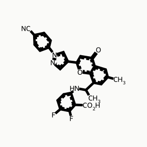 Cc1cc(C(C)Nc2ccc(F)c(F)c2C(=O)O)c2oc(-c3cnn(-c4ccc(C#N)cc4)c3)cc(=O)c2c1